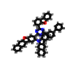 c1ccc(-c2cccc(-c3nc(-c4cc5oc6cc7ccccc7cc6c5cc4-n4c5ccccc5c5cc6ccccc6cc54)nc(-c4cccc5c4oc4ccccc45)n3)c2)cc1